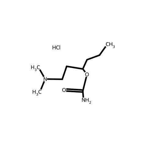 CCCC(CCN(C)C)OC(N)=O.Cl